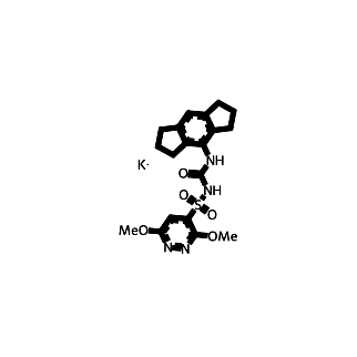 COc1cc(S(=O)(=O)NC(=O)Nc2c3c(cc4c2CCC4)CCC3)c(OC)nn1.[K]